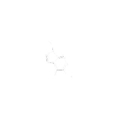 Cc1ncc2c(ccn2SI)c1F